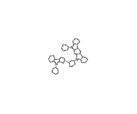 c1ccc(-n2c3ccccc3c3ccc(-c4cccc(-n5c6ccccc6c6cc7c8ccccc8n(-c8ccccc8)c7cc65)c4)cc32)cc1